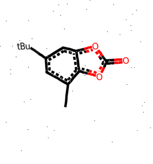 Cc1cc(C(C)(C)C)cc2oc(=O)oc12